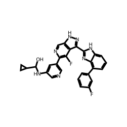 OC(Nc1cncc(-c2ncc3[nH]nc(-c4nc5c(-c6cccc(F)c6)cccc5[nH]4)c3c2F)c1)C1CC1